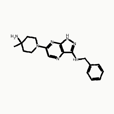 CC1(N)CCN(c2cnc3c(NCc4ccccc4)n[nH]c3n2)CC1